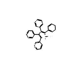 C[Si]1(C)C(C2=CCCC=C2)=C(c2ccccc2)C(c2ccccc2)=C1c1ccccc1